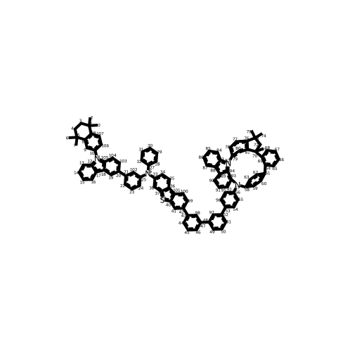 CC1(C)CCC(C)(C)c2cc(-n3c4ccccc4c4cc(-c5cccc(N(c6ccccc6)c6ccc7c(c6)sc6cc(-c8cccc(-c9cccc(-c%10ccc(N%11c%12ccc(cc%12)-c%12ccccc%12C%12(C)CC(C)(C)c%13ccc(cc%13%12)-n%12c%13ccccc%13c%13cccc%11c%13%12)cc%10)c9)c8)ccc67)c5)ccc43)ccc21